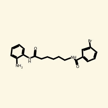 Nc1ccccc1NC(=O)CCCCCNC(=O)c1cccc(Br)c1